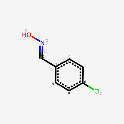 O/N=[C]/c1ccc(Cl)cc1